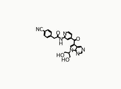 N#Cc1ccc(CC(=O)Nc2cc(C(=O)c3cn(C(CO)CO)c4ncncc34)ccn2)cc1